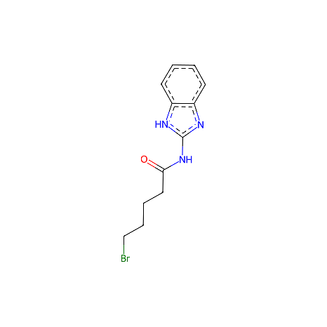 O=C(CCCCBr)Nc1nc2ccccc2[nH]1